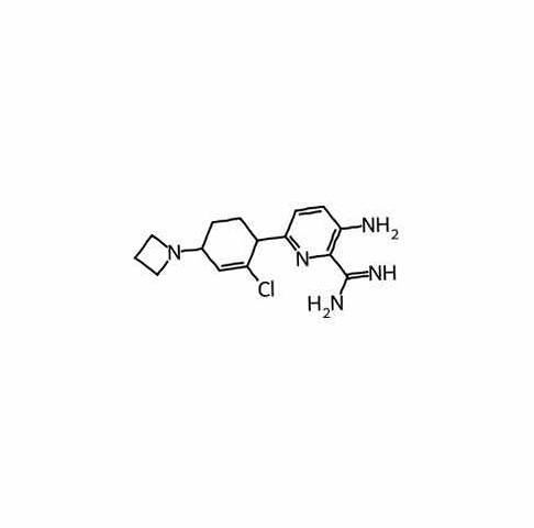 N=C(N)c1nc(C2CCC(N3CCC3)C=C2Cl)ccc1N